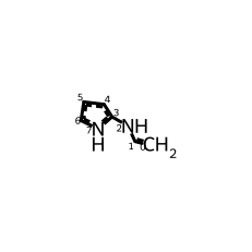 C=CNc1ccc[nH]1